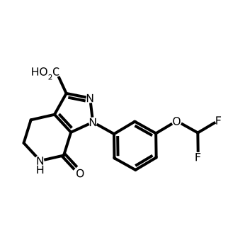 O=C(O)c1nn(-c2cccc(OC(F)F)c2)c2c1CCNC2=O